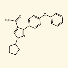 NC(=O)c1cn(C2CCCC2)nc1-c1ccc(Oc2ccccc2)cc1